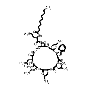 CCCCCCCCCC(=O)N[C@H](CCN)C(=O)N[C@H]1CCNC(=O)[C@H](CC(C)C)NC(=O)[C@H](CCN)NC(=O)[C@H](CCN)NC(=O)[C@H](CC(C)C)NC(=O)[C@@H](Cc2ccccc2)NC(=O)[C@H](CCN)NC1=O